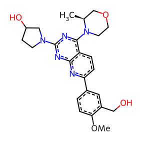 COc1ccc(-c2ccc3c(N4CCOC[C@@H]4C)nc(N4CCC(O)C4)nc3n2)cc1CO